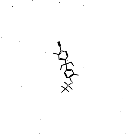 C#Cc1ccc(C(CC)(CC)c2ccc(O[Si](C)(C)C(C)(C)C)c(C)c2)cc1C